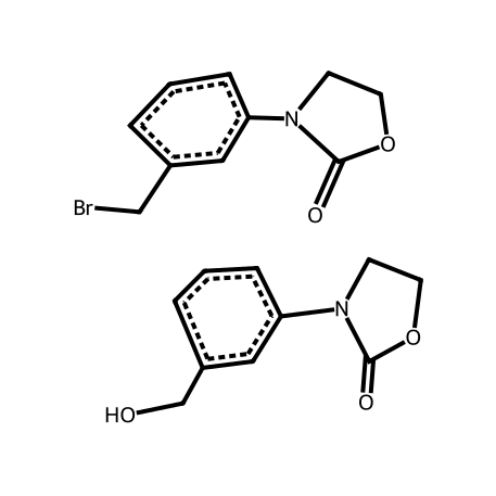 O=C1OCCN1c1cccc(CBr)c1.O=C1OCCN1c1cccc(CO)c1